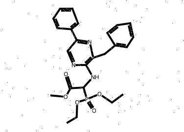 CCOP(=O)(OCC)C(Nc1ncc(-c2ccccc2)nc1Cc1ccccc1)C(=O)OC